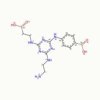 NCCNc1nc(NCCS(=O)O)nc(Nc2ccc(S(=O)O)cc2)n1